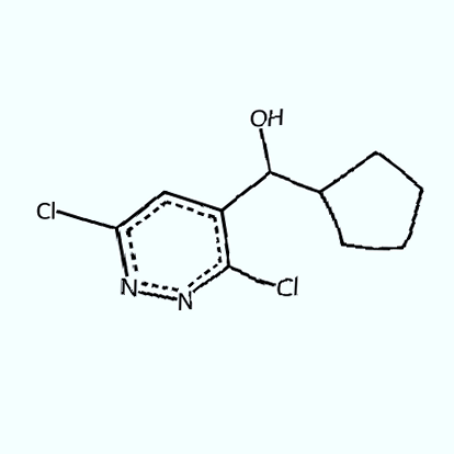 OC(c1cc(Cl)nnc1Cl)C1CCCC1